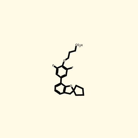 O=C(O)CCCOc1c(F)cc(-c2cccc3c2OC2(CCCC2)C3)cc1F